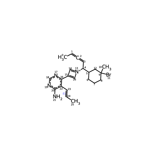 CC=C=CC(C1CCCC(C)(Br)C1)[N+]1=CC(c2ncnc(N)c2/C=C/C)=C1